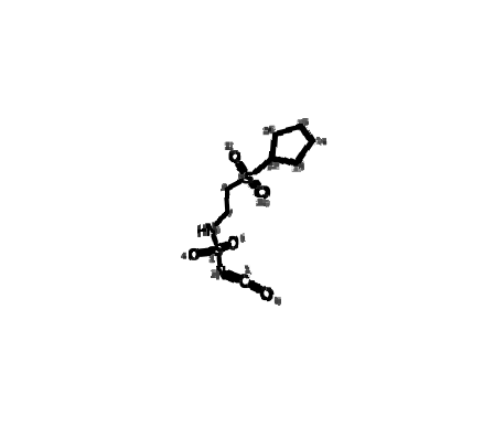 O=C=NS(=O)(=O)NCCS(=O)(=O)C1CCCC1